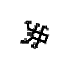 CCC(C)(CO)C1(P)CCC1(C)COC